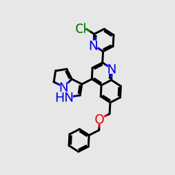 Clc1cccc(-c2cc(C3=CNN4CCC=C34)c3cc(COCc4ccccc4)ccc3n2)n1